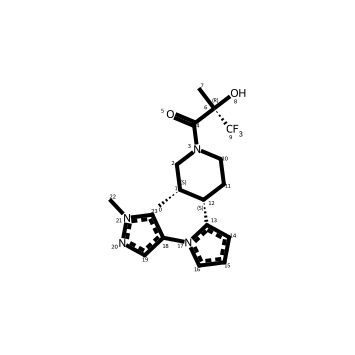 C[C@@H]1CN(C(=O)[C@@](C)(O)C(F)(F)F)CC[C@@H]1c1cccn1-c1cnn(C)c1